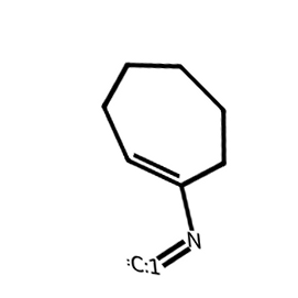 C1=C(N=[C:1])CCCCC1